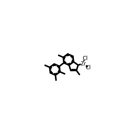 CC1=Cc2c(ccc(C)c2-c2cc(C)cc(C)c2C)[CH]1[Zr]([Cl])[Cl]